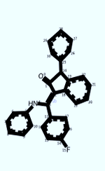 O=C1/C(=C(\Nc2ccccc2)c2ccc(F)cc2)c2ccccc2C1c1ccccc1